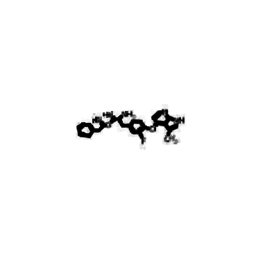 Cc1c[nH]c2nccc(Oc3ccc(CC(N)C(=N)OC(=N)Cc4ccccc4)cc3F)c12